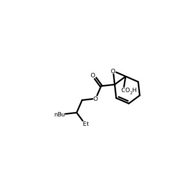 CCCCC(CC)COC(=O)C12C=CCCC1(C(=O)O)O2